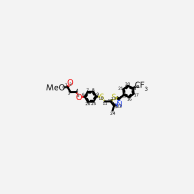 COC(=O)CCOc1ccc(SCc2sc(-c3ccc(C(F)(F)F)cc3)nc2C)cc1